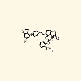 Cc1ccccc1OC(=O)ON1C(=O)CCc2ccc(CCN3CCN(c4cc(F)cc5sccc45)CC3)cc21